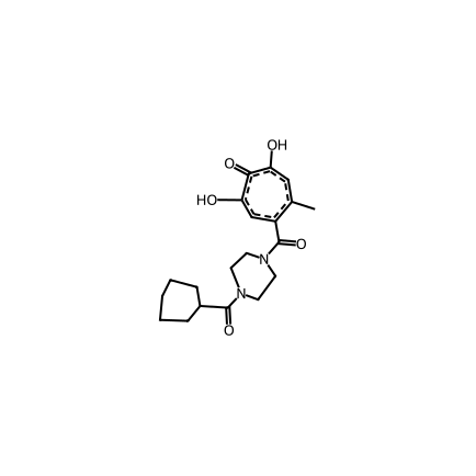 Cc1cc(O)c(=O)c(O)cc1C(=O)N1CCN(C(=O)C2CCCCC2)CC1